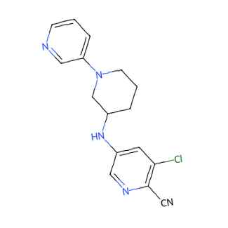 N#Cc1ncc(NC2CCCN(c3cccnc3)C2)cc1Cl